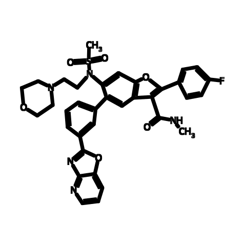 CNC(=O)c1c(-c2ccc(F)cc2)oc2cc(N(CCN3CCOCC3)S(C)(=O)=O)c(-c3cccc(-c4nc5ncccc5o4)c3)cc12